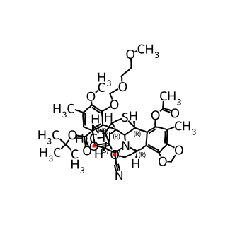 COCCOCOc1c(OC)c(C)cc2c1[C@@H]1C3[C@@H]4SC[C@H](NC(=O)OC(C)(C)C)C(=O)OC[C@@H](c5c6c(c(C)c(OC(C)=O)c54)OCO6)N3[C@@H](C#N)[C@H](C2)N1C